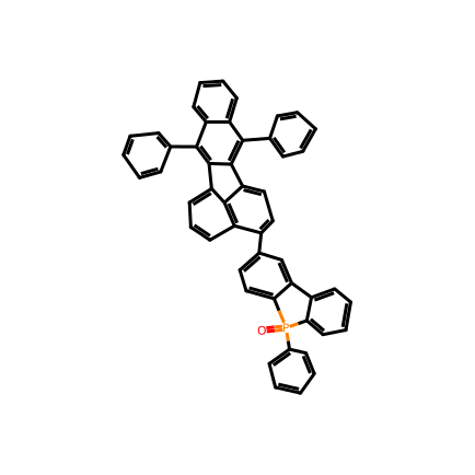 O=P1(c2ccccc2)c2ccccc2-c2cc(-c3ccc4c5c(cccc35)-c3c-4c(-c4ccccc4)c4ccccc4c3-c3ccccc3)ccc21